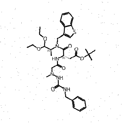 CCOC(OCC)[C@H](C)N(Cc1csc2ccccc12)C(=O)[C@H](CC(=O)OC(C)(C)C)NC(=O)CN(C)NC(=O)NCc1ccccc1